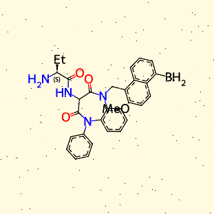 Bc1cccc2c(CN3C(=O)C(NC(=O)[C@@H](N)CC)C(=O)N(c4ccccc4)c4ccccc43)c(OC)ccc12